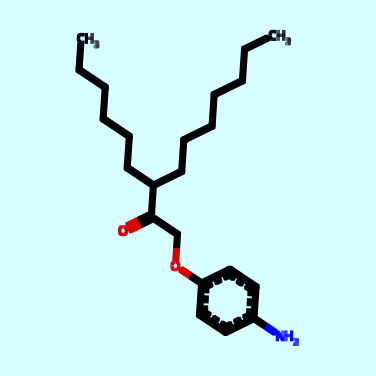 CCCCCCCC(CCCCCC)C(=O)COc1ccc(N)cc1